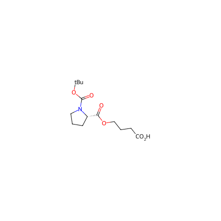 CC(C)(C)OC(=O)N1CCC[C@H]1C(=O)OCCCC(=O)O